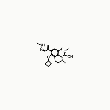 C=C(/C=N\NC)c1cc(F)c2c(c1OC1CCC1)CC[C@H](C)N2C(O)OC